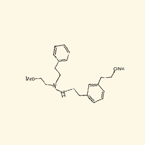 COCCc1cccc(CCNN(CCOC)CCc2ccccc2)c1